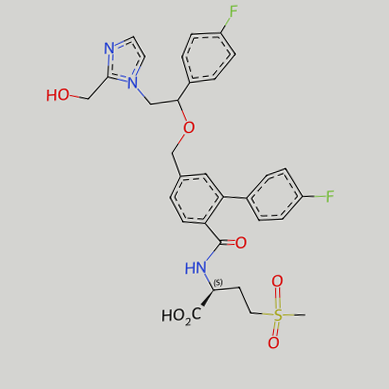 CS(=O)(=O)CC[C@H](NC(=O)c1ccc(COC(Cn2ccnc2CO)c2ccc(F)cc2)cc1-c1ccc(F)cc1)C(=O)O